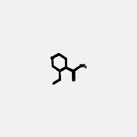 CCC1COCCN1C(N)=O